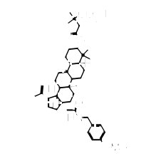 C=C(C)[C@@H]1CC[C@]2(CC(=O)NCc3ccc(OC)cc3)CC[C@]3(C)[C@H](CC[C@@H]4[C@@]5(C)CC[C@H](OC(=O)CC(C)(C)C(=O)O)C(C)(C)[C@@H]5CC[C@]43C)[C@@H]12